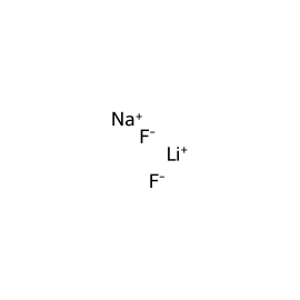 [F-].[F-].[Li+].[Na+]